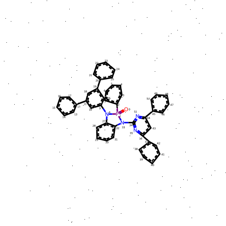 O=P1(c2ccccc2)N(c2cc(-c3ccccc3)cc(-c3ccccc3)c2)c2ccccc2N1c1nc(-c2ccccc2)cc(-c2ccccc2)n1